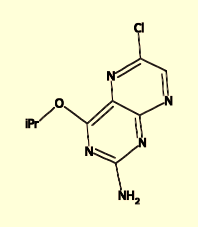 CC(C)Oc1nc(N)nc2ncc(Cl)nc12